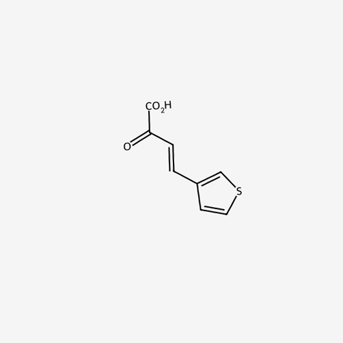 O=C(O)C(=O)C=Cc1ccsc1